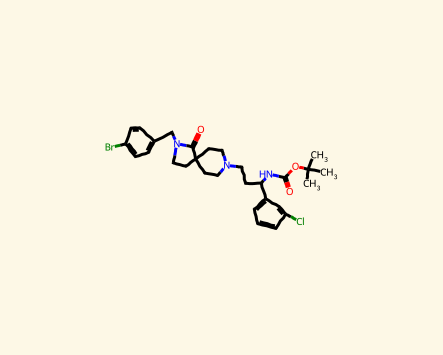 CC(C)(C)OC(=O)NC(CCN1CCC2(CC1)CCN(Cc1ccc(Br)cc1)C2=O)c1cccc(Cl)c1